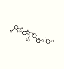 N#Cc1cccc(C(=O)Nc2ccc3c(c2)nc(CN2CCC(c4cccc(OCc5ccc(Cl)cc5F)n4)CC2)n3CC2CCO2)c1